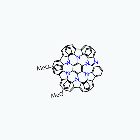 COc1ccc2c(c1)c1cc(OC)ccc1n2-c1c(-n2c3ccccc3c3ccccc32)c(-n2c3ccccc3c3ccccc32)c(-n2cnc3ccccc32)c(-n2c3ccccc3c3ccccc32)c1-n1c2ccccc2c2ccccc21